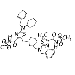 Cc1sc(N(Cc2ccccc2)CC2CCCC(Cc3sc(N(Cc4ccccc4)C4CCCCC4)nc3C(=O)NS(C)(=O)=O)C2)nc1C(=O)NS(C)(=O)=O